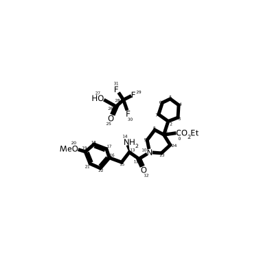 CCOC(=O)C1(C2CCCCC2)CCN(C(=O)[C@H](N)Cc2ccc(OC)cc2)CC1.O=C(O)C(F)(F)F